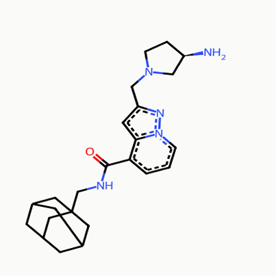 N[C@@H]1CCN(Cc2cc3c(C(=O)NCC45CC6CC(CC(C6)C4)C5)cccn3n2)C1